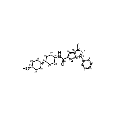 Cc1nn(-c2ccccc2)c2sc(C(=O)NC3CCC(N4CCC(O)CC4)CC3)cc12